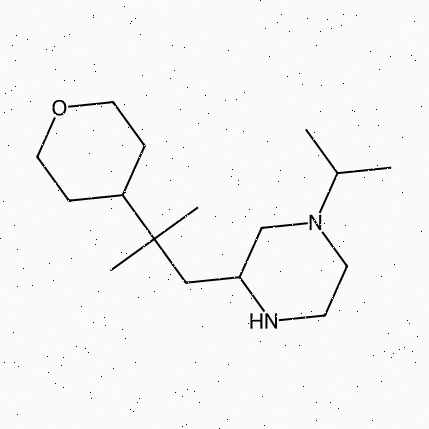 CC(C)N1CCNC(CC(C)(C)C2CCOCC2)C1